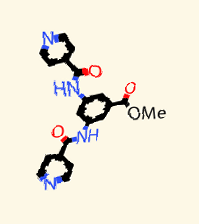 COC(=O)c1cc(NC(=O)c2ccncc2)cc(NC(=O)c2ccncc2)c1